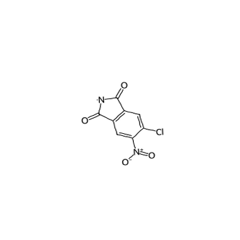 O=C1[N]C(=O)c2cc([N+](=O)[O-])c(Cl)cc21